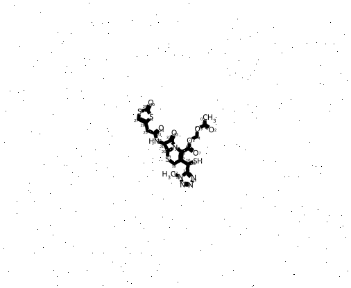 CC(=O)OCOC(=O)C1=C(C(S)c2nnnn2C)CSC2C(NC(=O)Cc3csc(=O)s3)C(=O)N12